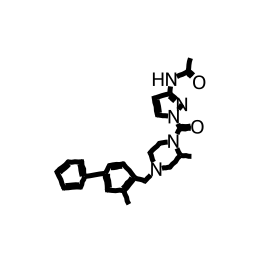 CC(=O)Nc1ccn(C(=O)N2CCN(Cc3ccc(-c4ccccc4)cc3C)CC2C)n1